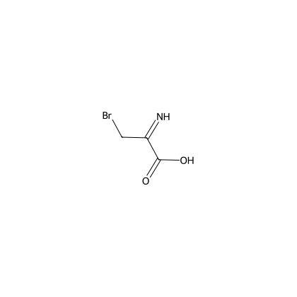 N=C(CBr)C(=O)O